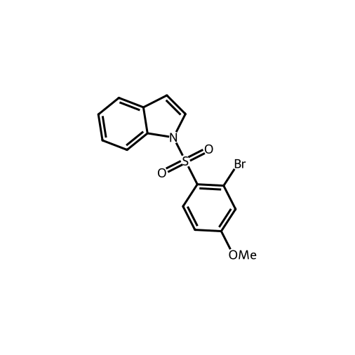 COc1ccc(S(=O)(=O)n2ccc3ccccc32)c(Br)c1